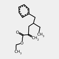 C=C(CC(CC)Cc1ccccc1)C(=O)OCC